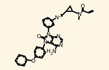 C=CC(=O)N(C)C1CC1C#[N+]c1cccc(-n2c(=O)n(-c3ccc(Oc4ccccc4)cc3)c3c(N)ncnc32)c1